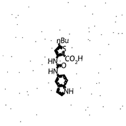 CCCCc1cc(NC(=O)Nc2ccc3[nH]ccc3c2)c(C(=O)O)s1